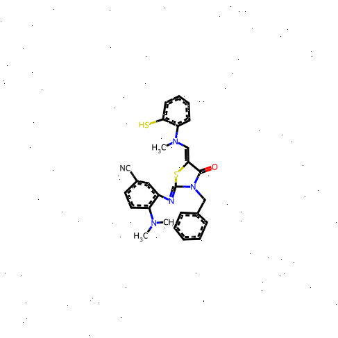 CN(C)c1ccc(C#N)cc1N=C1SC(=CN(C)c2ccccc2S)C(=O)N1Cc1ccccc1